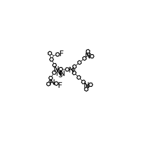 Fc1ccc(C2c3ccccc3-c3ccc(-c4ccc(N(c5ccc(-c6ccc7c8ccccc8n(-c8ccc(F)cc8)c7c6)cc5)c5ccc(-c6ccc(-n7c8ccc(-c9ccc(-c%10ccc(-n%11c%12ccccc%12c%12ccccc%12%11)cc%10)cc9)cc8c8cc(-c9ccc(-c%10ccc(-n%11c%12ccccc%12c%12ccccc%12%11)cc%10)cc9)ccc87)cc6)c6nsnc56)cc4)cc32)cc1